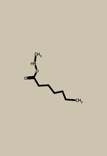 CCCCCCC(=O)ONC